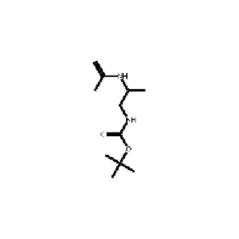 C=C(C)NC(C)CNC(=O)OC(C)(C)C